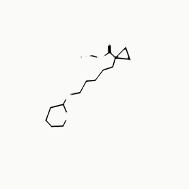 CCCCOC(=O)C1(CCCCCOC2CCCCO2)CC1